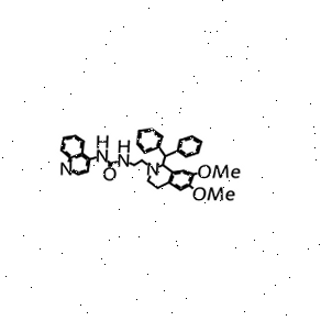 COc1cc2c(cc1OC)C(C(c1ccccc1)c1ccccc1)N(CCNC(=O)Nc1ccnc3ccccc13)CC2